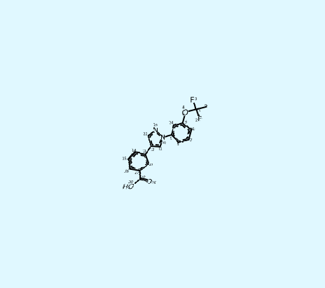 CC(F)(F)Oc1cccc(-n2cc(-c3cccc(C(=O)O)c3)cn2)c1